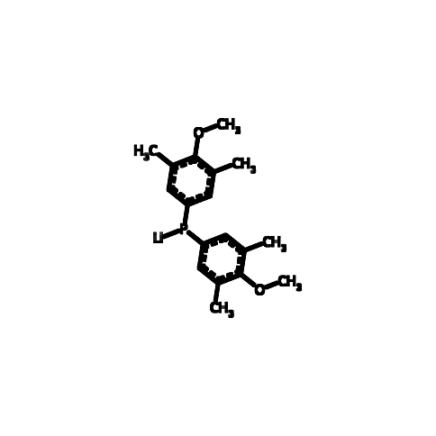 [Li][P](c1cc(C)c(OC)c(C)c1)c1cc(C)c(OC)c(C)c1